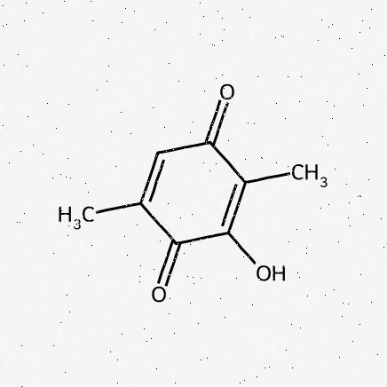 CC1=CC(=O)C(C)=C(O)C1=O